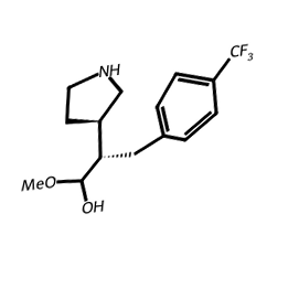 COC(O)[C@@H](Cc1ccc(C(F)(F)F)cc1)[C@H]1CCNC1